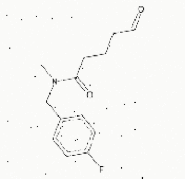 CN(Cc1ccc(F)cc1)C(=O)CCCC=O